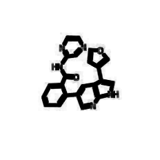 O=C(Nc1cnccn1)c1ccccc1-c1cnc2[nH]cc(-c3ccoc3)c2c1